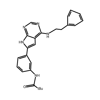 CC(C)(C)C(=O)Nc1cccc(-c2cc3c(NCCc4ccccc4)ncnc3[nH]2)c1